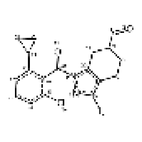 O=CC1CCc2c(I)nn(C(=O)c3c(Cl)cccc3C3CC3)c2C1